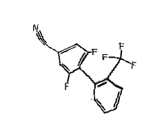 N#Cc1cc(F)c(-c2[c]cccc2C(F)(F)F)c(F)c1